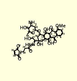 COc1cccc2c1C(=O)c1c(O)c3c(c(O)c1C2=O)C[C@@](O)(/C(CO)=N/NC(=O)CCN1C(=O)C=CC1=O)CC3OC1CC(N)C(O)C(C)O1